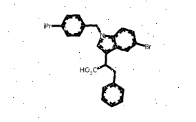 CC(C)c1ccc(Cn2cc(C(Cc3ccccc3)C(=O)O)c3cc(Br)ccc32)cc1